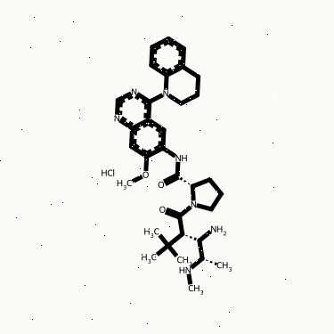 CN[C@@H](C)C(N)[C@@H](C(=O)N1CCC[C@H]1C(=O)Nc1cc2c(N3CCCc4ccccc43)ncnc2cc1OC)C(C)(C)C.Cl